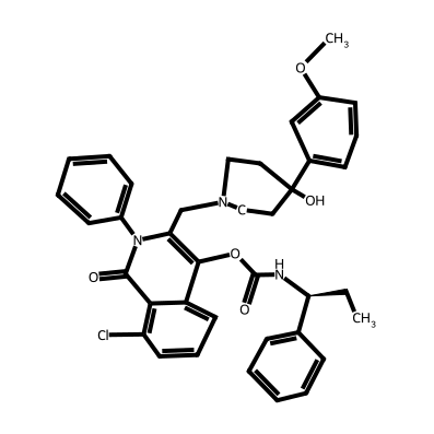 CC[C@H](NC(=O)Oc1c(CN2CCC(O)(c3cccc(OC)c3)CC2)n(-c2ccccc2)c(=O)c2c(Cl)cccc12)c1ccccc1